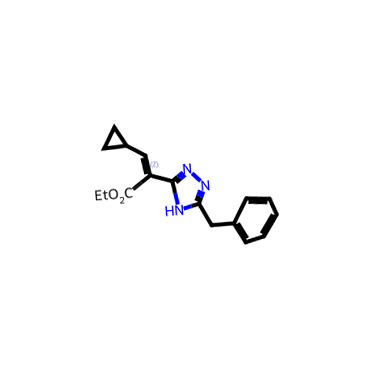 CCOC(=O)/C(=C\C1CC1)c1nnc(Cc2ccccc2)[nH]1